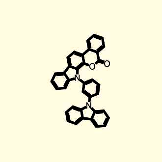 O=c1oc2c(ccc3c4ccccc4n(-c4cccc(-n5c6ccccc6c6ccccc65)c4)c32)c2ccccc12